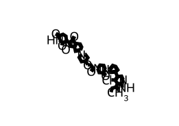 CCc1c[nH]c2ncc(-c3cccc(N4CCN(C(=O)COC5CCN(c6ccc7c(c6)C(=O)N(C6CCC(=O)NC6=O)C7=O)CC5)CC4=O)c3)c(Cl)c12